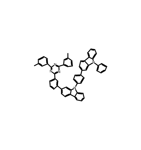 Cc1cccc(-c2nc(-c3cccc(C)c3)nc(-c3cccc(-c4ccc5c6ccccc6n(-c6ccc(-c7ccc8c9ccccc9n(-c9ccccc9)c8c7)cc6)c5c4)c3)n2)c1